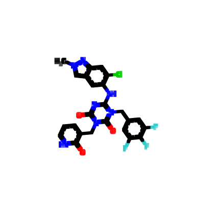 Cn1cc2cc(Nc3nc(=O)n(Cc4ccc[nH]c4=O)c(=O)n3Cc3cc(F)c(F)c(F)c3)c(Cl)cc2n1